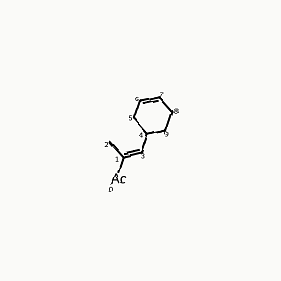 CC(=O)C(C)=CC1CC=CCC1